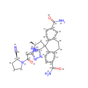 Cc1nnc(C2(C[C@H](C)NCC(=O)N3CCC[C@H]3C#N)c3ccc(C(N)=O)cc3CCc3cc(C(N)=O)ccc32)[nH]1